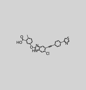 Cc1ccc(Oc2nc3cc(C#Cc4ccc(-c5cscn5)cc4)c(Cl)cc3[nH]2)cc1C(=O)O